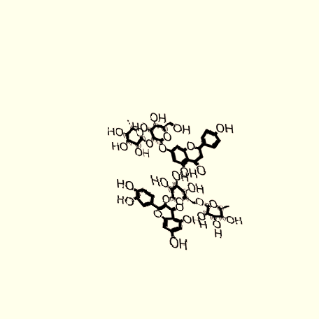 C[C@@H]1O[C@@H](OC[C@H]2O[C@@H](Oc3c(-c4ccc(O)c(O)c4)oc4cc(O)cc(O)c4c3=O)[C@H](O)[C@@H](O)[C@@H]2O)[C@H](O)[C@H](O)[C@H]1O.C[C@@H]1O[C@@H](O[C@H]2[C@H](Oc3cc(O)c4c(c3)OC(c3ccc(O)cc3)CC4=O)O[C@H](CO)[C@@H](O)[C@@H]2O)[C@H](O)[C@H](O)[C@H]1O